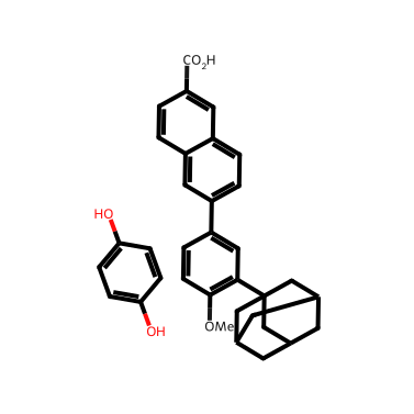 COc1ccc(-c2ccc3cc(C(=O)O)ccc3c2)cc1C12CC3CC(CC(C3)C1)C2.Oc1ccc(O)cc1